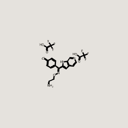 NCCON=C(c1ccc(Cl)cc1)c1cc2ccncc2[nH]1.O=C(O)C(F)(F)F.O=C(O)C(F)(F)F